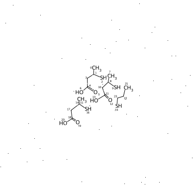 CC(S)CC(=O)O.CC(S)CC(=O)O.CC(S)CC(=O)O.CCCS